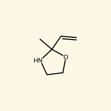 C=CC1(C)NCCO1